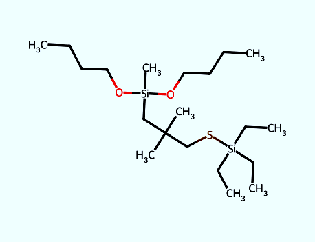 CCCCO[Si](C)(CC(C)(C)CS[Si](CC)(CC)CC)OCCCC